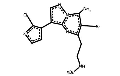 CCCCNCCc1nc2c(-c3ccsc3Cl)cnn2c(N)c1Br